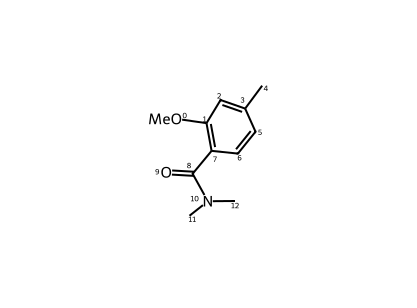 COc1cc(C)ccc1C(=O)N(C)C